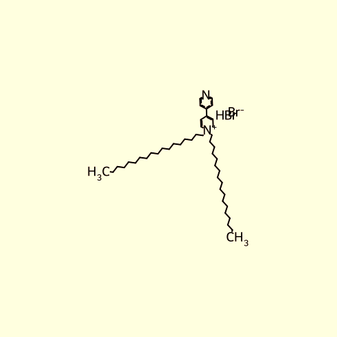 Br.CCCCCCCCCCCCCCCCCC[N+]1(CCCCCCCCCCCCCCCCCC)C=CC(c2ccncc2)=CC1.[Br-]